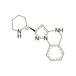 c1ccc2c(c1)CNc1cc([C@@H]3CCCCN3)nn1-2